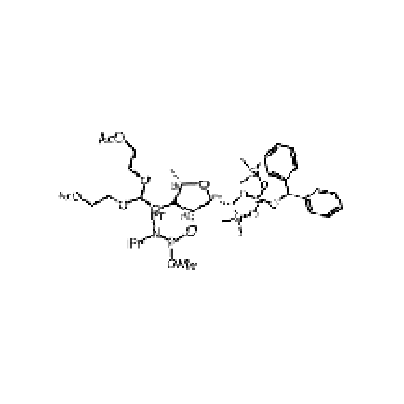 COP(O[C@@H]1C(OC(OCCOC(C)=O)OCCOC(C)=O)[C@H](C)O[C@@H]1CO[Si](OC(c1ccccc1)c1ccccc1)(O[Si](C)(C)C)O[Si](C)(C)C)N(C(C)C)C(C)C